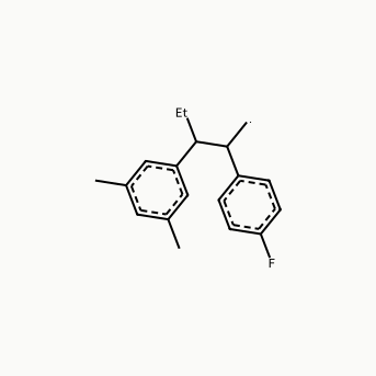 [CH2]C(c1ccc(F)cc1)C(CC)c1cc(C)cc(C)c1